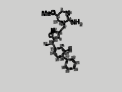 COC1CN=C(N)N(Cc2cc(C(C)c3ccc(-c4ccccc4)c(F)c3)on2)C1